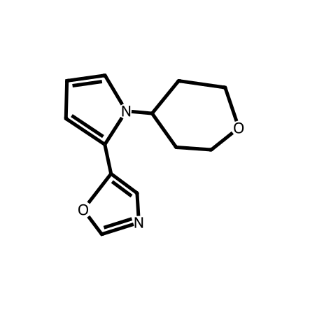 c1cc(-c2cnco2)n(C2CCOCC2)c1